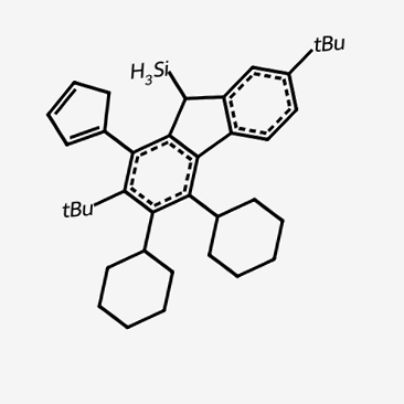 CC(C)(C)c1ccc2c(c1)C([SiH3])c1c(C3=CC=CC3)c(C(C)(C)C)c(C3CCCCC3)c(C3CCCCC3)c1-2